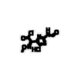 CON=C(C(=O)Cl)c1csc(NC=O)n1.Cl